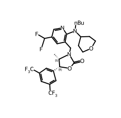 CCCCN(c1ncc(C(F)F)cc1CN1C(=O)O[C@H](c2cc(C(F)(F)F)cc(C(F)(F)F)c2)[C@@H]1C)C1CCOCC1